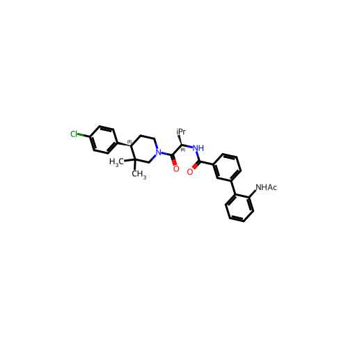 CC(=O)Nc1ccccc1-c1cccc(C(=O)N[C@@H](C(=O)N2CC[C@H](c3ccc(Cl)cc3)C(C)(C)C2)C(C)C)c1